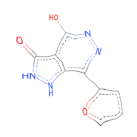 O=c1[nH][nH]c2c(-c3ccco3)nnc(O)c12